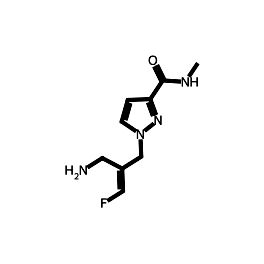 CNC(=O)c1ccn(C/C(=C/F)CN)n1